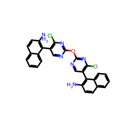 Nc1ccc2ccccc2c1-c1cnc(Oc2ncc(-c3c(N)ccc4ccccc34)c(Cl)n2)nc1Cl